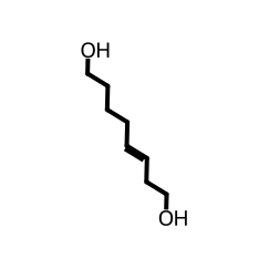 OCCC=CCCCCO